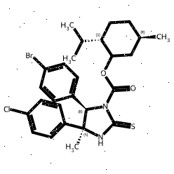 CC(C)[C@@H]1CC[C@@H](C)CC1OC(=O)N1C(=S)N[C@@](C)(c2ccc(Cl)cc2)[C@H]1c1ccc(Br)cc1